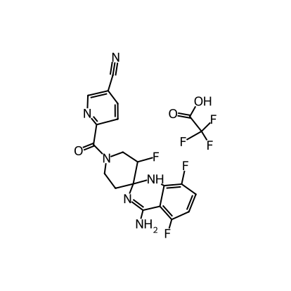 N#Cc1ccc(C(=O)N2CCC3(N=C(N)c4c(F)ccc(F)c4N3)C(F)C2)nc1.O=C(O)C(F)(F)F